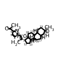 C=C(Cn1ccc(C(C)=O)n1)[C@H]1CC[C@H]2[C@@H]3CC[C@@H]4C[C@](C)(O)CC[C@@H]4[C@H]3CC[C@]12C